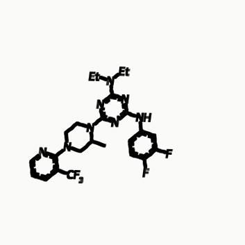 CCN(CC)c1nc(Nc2ccc(F)c(F)c2)nc(N2CCN(c3ncccc3C(F)(F)F)CC2C)n1